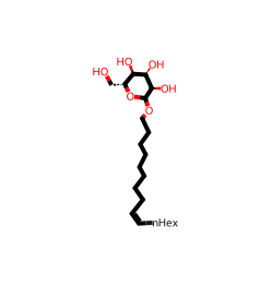 CCCCCC/C=C\CCCCCCCCOC1O[C@H](CO)[C@@H](O)[C@H](O)[C@H]1O